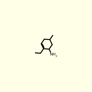 CCC1=CCC(C)CC1N